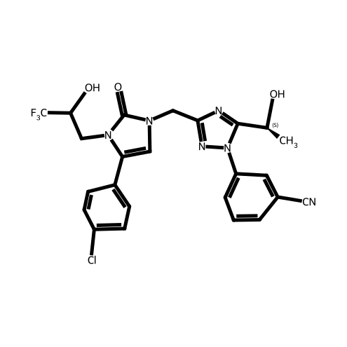 C[C@H](O)c1nc(Cn2cc(-c3ccc(Cl)cc3)n(CC(O)C(F)(F)F)c2=O)nn1-c1cccc(C#N)c1